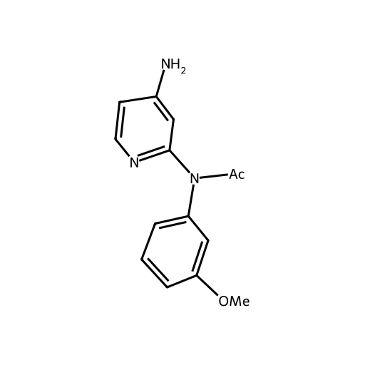 COc1cccc(N(C(C)=O)c2cc(N)ccn2)c1